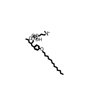 CCCCCCCCCCCCCCOc1ccc(CC(COP(=O)(O)OCCC[N+](C)(C)C)CC(C)=O)cc1